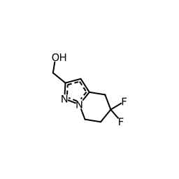 OCc1cc2n(n1)CCC(F)(F)C2